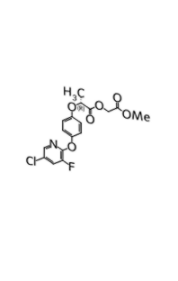 COC(=O)COC(=O)[C@@H](C)Oc1ccc(Oc2ncc(Cl)cc2F)cc1